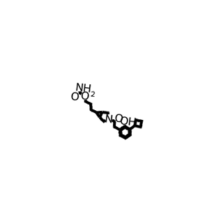 NC(=O)OCCCC1C2CN(C(=O)Cc3cccc(C4CCC4)c3O)CC12